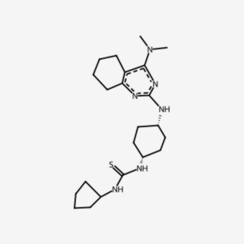 CN(C)c1nc(N[C@H]2CC[C@@H](NC(=S)NC3CCCC3)CC2)nc2c1CCCC2